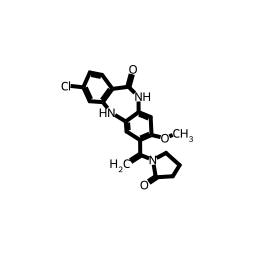 C=C(c1cc2c(cc1OC)NC(=O)c1ccc(Cl)cc1N2)N1CCCC1=O